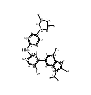 Cc1nc2c(F)cc(-c3nc(Nc4ccc(N5CC(C)OC(C)C5)cn4)ncc3F)cc2n1C(C)C